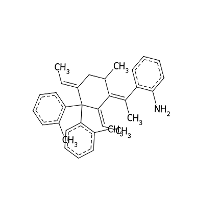 C/C=C1\CC(C)C(=C(/C)c2ccccc2N)/C(=C\C)C1(c1ccccc1C)c1ccccc1C